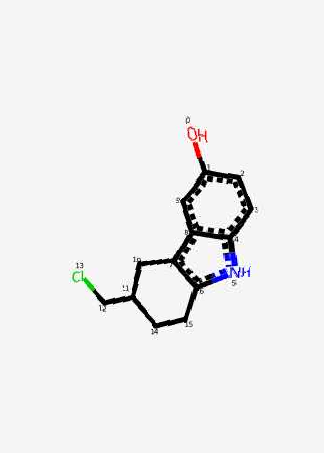 Oc1ccc2[nH]c3c(c2c1)CC(CCl)CC3